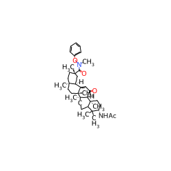 CC(=O)N[C@H]1CC[C@@]2(C)C(CC[C@]3(C)[C@@H]2C(=O)C=C2[C@@H]4C[C@@](C)(C(=O)N(C)Oc5ccccc5)CC[C@]4(C)CC[C@]23C)C1(C)C